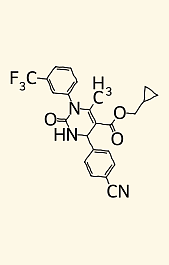 CC1=C(C(=O)OCC2CC2)C(c2ccc(C#N)cc2)NC(=O)N1c1cccc(C(F)(F)F)c1